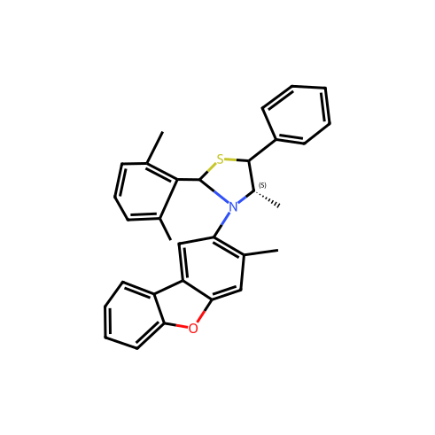 Cc1cc2oc3ccccc3c2cc1N1C(c2c(C)cccc2C)SC(c2ccccc2)[C@@H]1C